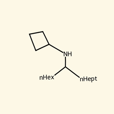 CCCCCCCC(CCCCCC)NC1CCC1